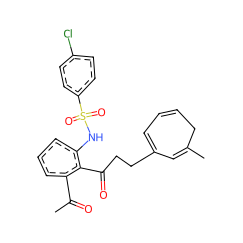 CC(=O)c1cccc(NS(=O)(=O)c2ccc(Cl)cc2)c1C(=O)CCC1=CC=CCC(C)=C1